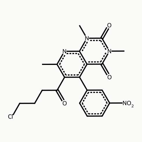 Cc1nc2c(c(-c3cccc([N+](=O)[O-])c3)c1C(=O)CCCCl)c(=O)n(C)c(=O)n2C